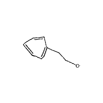 [O]CCc1ccccc1